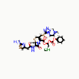 CC(OC(=O)OC1CCCCC1)OC(=O)C1=C(CSc2nnnn2CCN(C)C)CS[C@@H]2[C@H](NC(=O)Cc3csc(N)n3)C(=O)N12.Cl